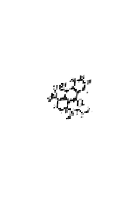 [CH2]CCN(C)c1ccc(N(C)C)c2c1C(=O)c1ccccc1C2=O